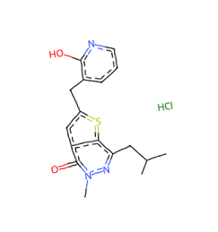 CC(C)Cc1nn(C)c(=O)c2cc(Cc3cccnc3O)sc12.Cl